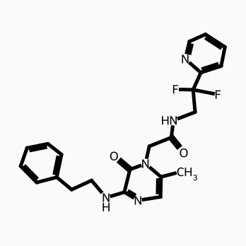 Cc1cnc(NCCc2ccccc2)c(=O)n1CC(=O)NCC(F)(F)c1ccccn1